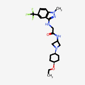 CCO[C@H]1CC[C@@H](N2CC(NC(=O)CNc3nn(C)c4ccc(C(F)(F)F)cc34)C2)CC1